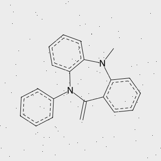 C=C1c2ccccc2N(C)c2ccccc2N1c1ccccc1